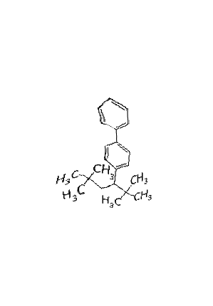 CC(C)(C)CC(c1ccc(-c2ccccc2)cc1)C(C)(C)C